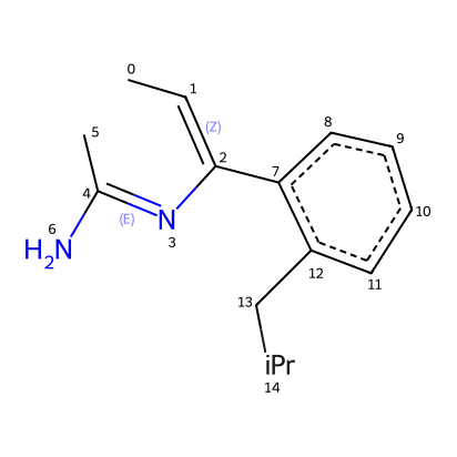 C/C=C(\N=C(/C)N)c1ccccc1CC(C)C